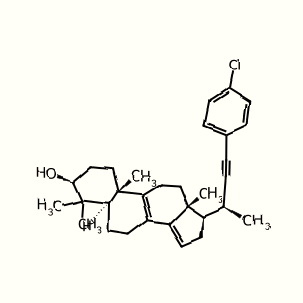 C[C@H](C#Cc1ccc(Cl)cc1)[C@H]1CC=C2C3=C(CC[C@@]21C)[C@@]1(C)CC[C@H](O)C(C)(C)[C@@H]1CC3